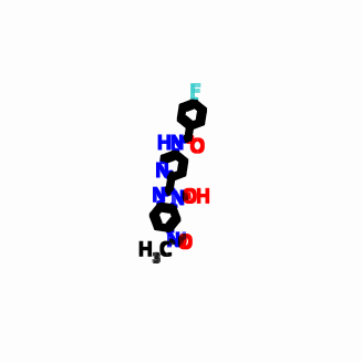 C[N+](=O)c1ccc2nc(-c3ccc(NC(=O)c4ccc(F)cc4)cn3)n(O)c2c1